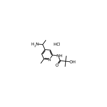 Cc1cc(C(C)N)cc(NC(=O)C(C)(C)O)n1.Cl